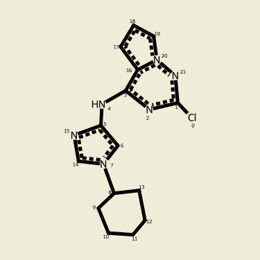 Clc1nc(Nc2cn(C3CCCCC3)cn2)c2cccn2n1